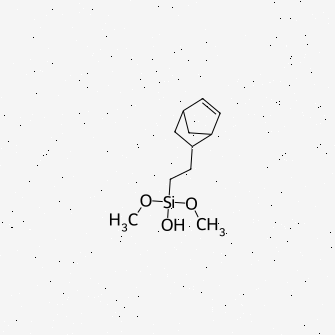 CO[Si](O)(CCC1CC2C=CC1C2)OC